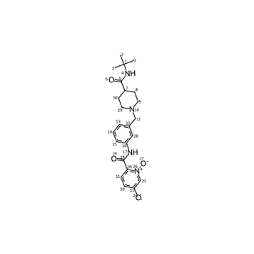 CC(C)(C)NC(=O)C1CCN(Cc2cccc(NC(=O)c3ccc(Cl)c[n+]3[O-])c2)CC1